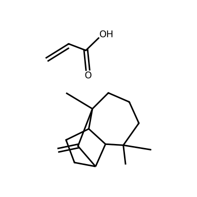 C=C1C2CCC3C2C(C)(C)CCCC13C.C=CC(=O)O